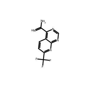 N=C(N)c1ncnc2nc(C(F)(F)F)ccc12